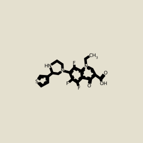 CCn1cc(C(=O)O)c(=O)c2c(F)c(F)c(N3CCNC(c4ccsc4)C3)c(F)c21